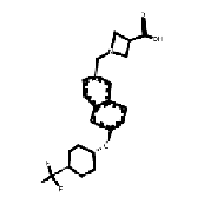 CC(F)(F)[C@H]1CC[C@H](Oc2ccc3cc(CN4CC(C(=O)O)C4)ccc3c2)CC1